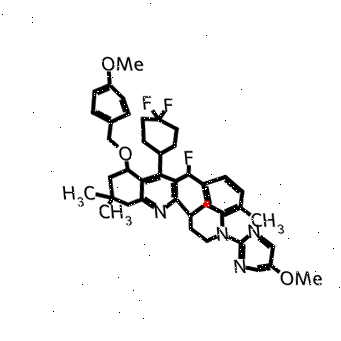 COc1ccc(COC2CC(C)(C)Cc3nc(C4CCN(c5ncc(OC)cn5)CC4)c(C(F)c4ccc(C)cc4)c(C4CCC(F)(F)CC4)c32)cc1